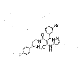 CC1=C(C(=O)N2CCN(c3ccc(F)cc3)CC2)C(c2cccc(Br)c2)n2nccc2N1